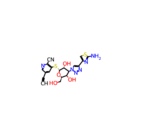 C#Cc1cnc(C#N)c(S[C@H]2O[C@H](CO)[C@H](O)[C@H](n3cc(-c4csc(N)n4)nn3)[C@H]2O)c1